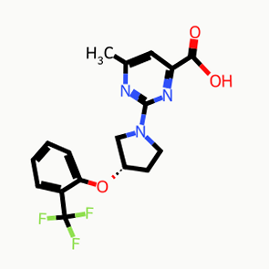 Cc1cc(C(=O)O)nc(N2CC[C@H](Oc3ccccc3C(F)(F)F)C2)n1